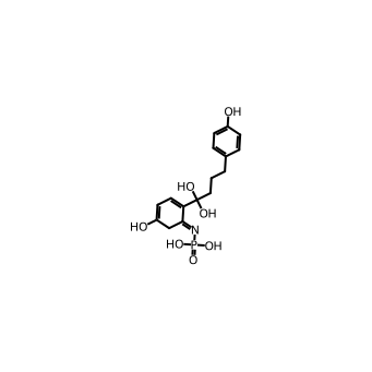 O=P(O)(O)N=C1CC(O)=CC=C1C(O)(O)CCCc1ccc(O)cc1